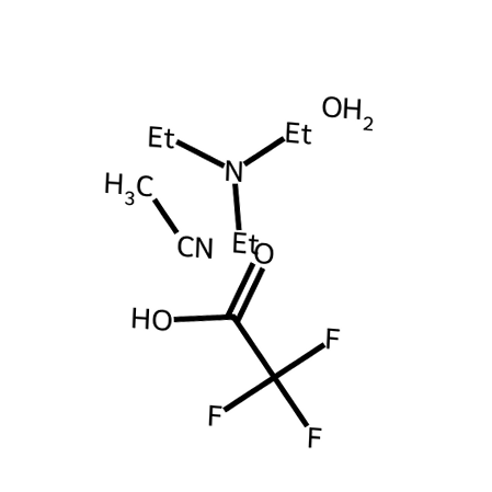 CC#N.CCN(CC)CC.O.O=C(O)C(F)(F)F